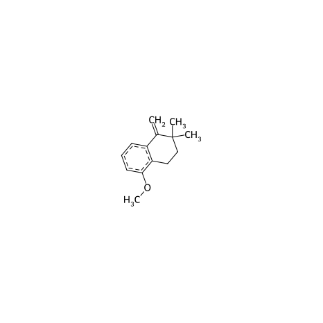 C=C1c2cccc(OC)c2CCC1(C)C